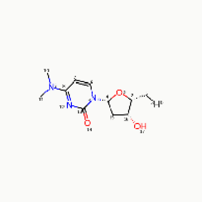 [3H]C[C@H]1O[C@@H](n2ccc(N(C)C)nc2=O)C[C@H]1O